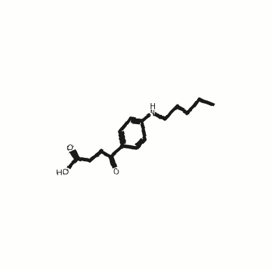 CCCCCNc1ccc(C(=O)CCC(=O)O)cc1